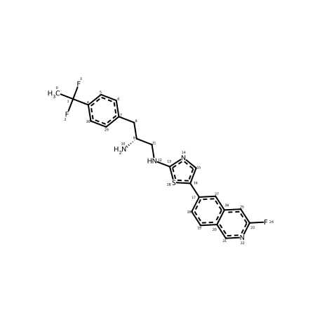 CC(F)(F)c1ccc(C[C@@H](N)CNc2ncc(-c3ccc4cnc(F)cc4c3)s2)cc1